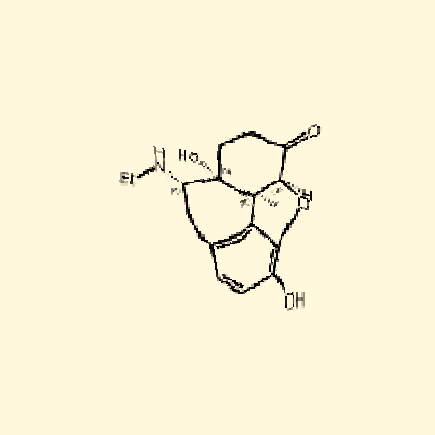 CCN[C@H]1Cc2ccc(O)c3c2[C@]2(C)[C@H](O3)C(=O)CC[C@]12O